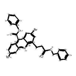 O=C(CCc1cc(Br)cc2c(C(=O)Oc3ccccc3)c3ccc(Br)cc3nc12)OCc1ccccc1